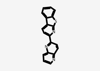 c1cnc2ccc(-c3ccc4c(n3)sc3ccccc34)nc2c1